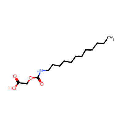 CCCCCCCCCCCCNC(=O)OCC(=O)O